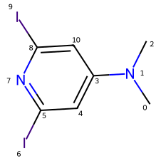 CN(C)c1cc(I)nc(I)c1